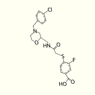 O=C(CSc1ccc(C(=O)O)cc1F)NCC1CN(Cc2ccc(Cl)cc2)CCO1